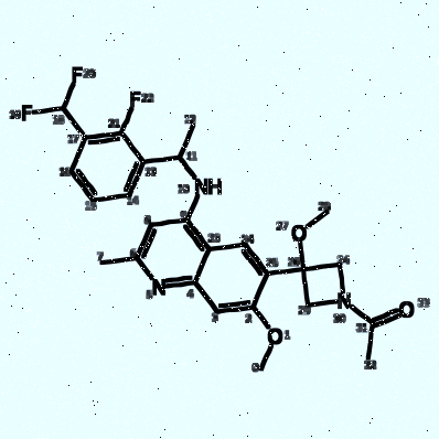 COc1cc2nc(C)cc(NC(C)c3cccc(C(F)F)c3F)c2cc1C1(OC)CN(C(C)=O)C1